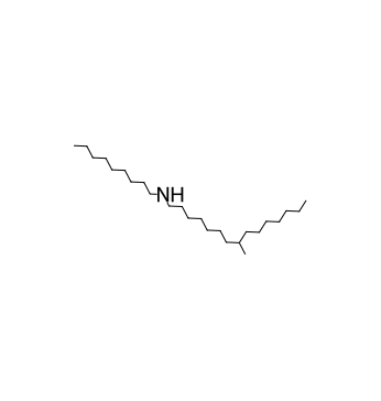 CCCCCCCCCNCCCCCCCC(C)CCCCCCC